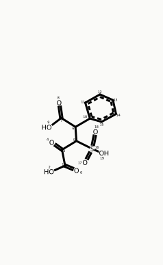 O=C(O)C(=O)C(C(C(=O)O)c1ccccc1)S(=O)(=O)O